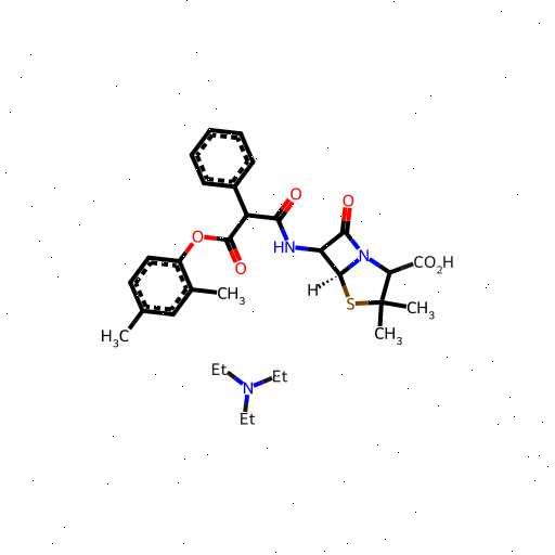 CCN(CC)CC.Cc1ccc(OC(=O)C(C(=O)NC2C(=O)N3C(C(=O)O)C(C)(C)S[C@@H]23)c2ccccc2)c(C)c1